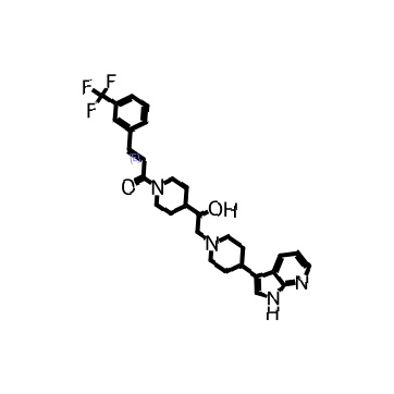 O=C(/C=C/c1cccc(C(F)(F)F)c1)N1CCC(C(O)CN2CCC(c3c[nH]c4ncccc34)CC2)CC1